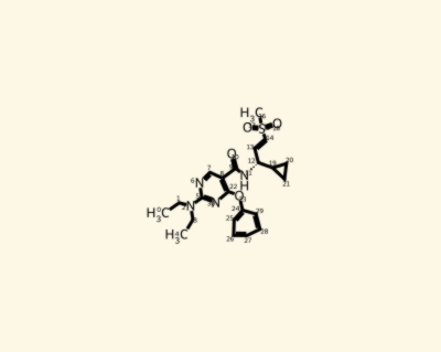 CCN(CC)c1ncc(C(=O)N[C@H](/C=C/S(C)(=O)=O)C2CC2)c(Oc2ccccc2)n1